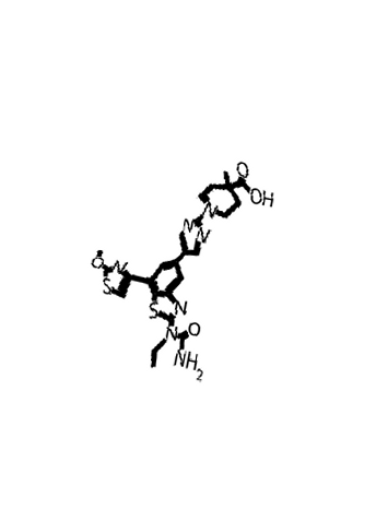 CCN(C(N)=O)c1nc2cc(-c3cnc(N4CCC(C)(C(=O)O)CC4)nc3)cc(-c3csc(OC)n3)c2s1